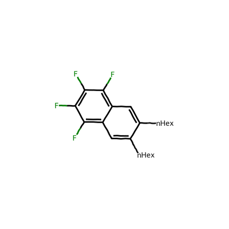 CCCCCCc1cc2c(F)c(F)c(F)c(F)c2cc1CCCCCC